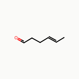 C/C=C/CCC=O